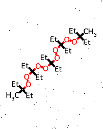 CCC(C)(CC)OOC(CC)(CC)OOC(CC)(CC)OOC(CC)(CC)OOC(C)(CC)CC